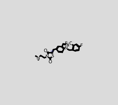 CN(C)CCN1C(=O)S/C(=C\c2ccc3c(cnn3Cc3ccc(F)cc3C(F)(F)F)c2)C1=O